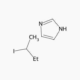 CCC(C)I.c1c[nH]cn1